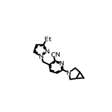 CCc1ccn(Cc2ccc(N3CC4CC4C3)nc2C#N)n1